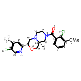 COc1cccc(C(=O)N2CCN3C[C@@H](c4cc(C(F)(F)F)c(F)cn4)OC[C@@H]3C2)c1Cl